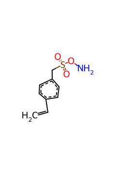 C=Cc1ccc(CS(=O)(=O)ON)cc1